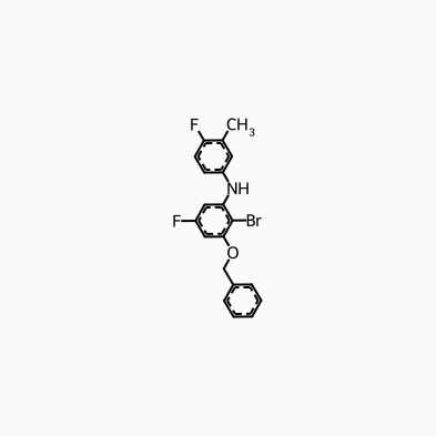 Cc1cc(Nc2cc(F)cc(OCc3ccccc3)c2Br)ccc1F